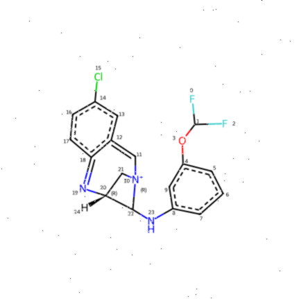 FC(F)Oc1cccc2c1[N@+]13C=c4cc(Cl)ccc4=N[C@H](C1)C3N2